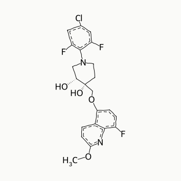 COc1ccc2c(OC[C@]3(O)CCN(c4c(F)cc(Cl)cc4F)C[C@H]3O)ccc(F)c2n1